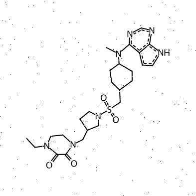 CCN1CCN(CC2CCN(S(=O)(=O)CC3CCC(N(C)c4ncnc5[nH]ccc45)CC3)C2)C(=O)C1=O